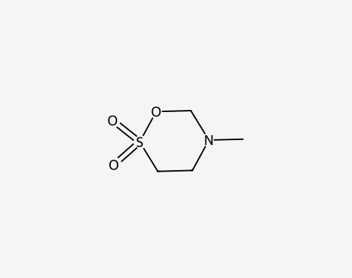 CN1CCS(=O)(=O)OC1